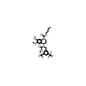 CCCCOC(=O)N1c2cc(OC)c(OC)cc2[C@@H](N(Cc2cc(C(F)(F)F)cc(C(F)(F)F)c2)C(=O)OC)C[C@H]1C